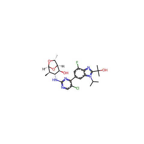 CC(C)n1c(C(C)(C)O)nc2c(F)cc(-c3nc(N[C@@H]4[C@@H](C)[C@@H]5O[C@H]([C@H]4O)[C@@H](C)O5)ncc3Cl)cc21